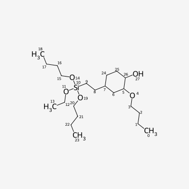 CCCCOC1CC(CC[Si](OCC)(OCCCC)OCCCC)CCC1O